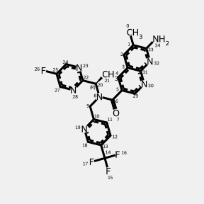 Cc1cc2cc(C(=O)N(Cc3ccc(C(F)(F)F)cn3)[C@H](C)c3ncc(F)cn3)cnc2nc1N